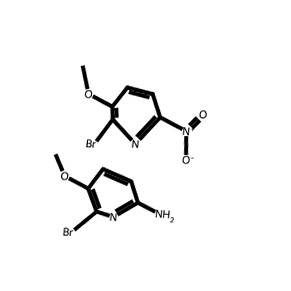 COc1ccc(N)nc1Br.COc1ccc([N+](=O)[O-])nc1Br